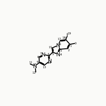 Cc1cc2nc(-c3ncc(N(C)C)cn3)cn2cc1I